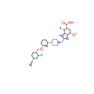 COc1cc(C(=O)O)c(F)c2c1nc(CN1CCC(c3cccc(OCc4ccc(C#N)cc4F)n3)CC1)n2C